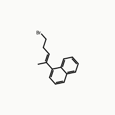 CC(=CCCBr)c1cccc2ccccc12